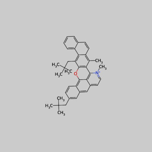 Cc1c2c(c(CC(C)(C)C)c3c1ccc1ccccc13)Oc1c3ccc(CC(C)(C)C)cc3cc3cc[n+](C)c-2c13